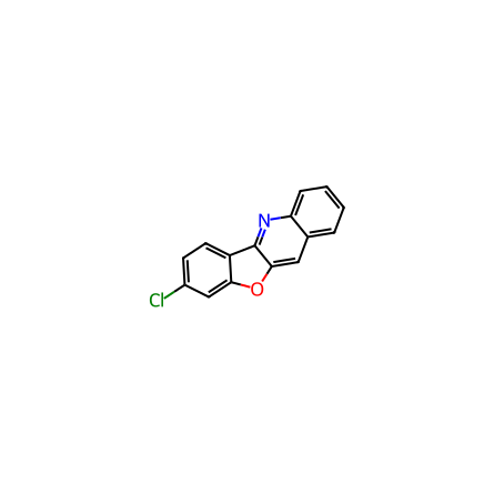 Clc1ccc2c(c1)oc1cc3ccccc3nc12